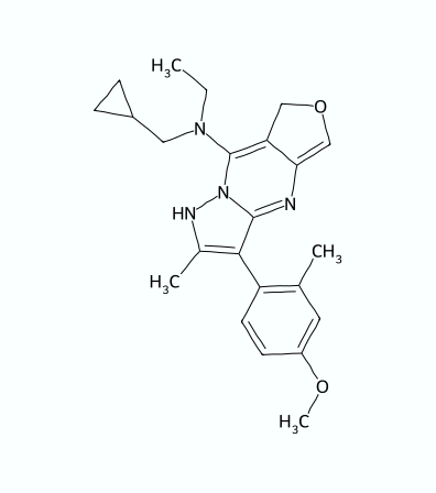 CCN(CC1CC1)C1=C2COC=C2N=C2C(c3ccc(OC)cc3C)=C(C)NN21